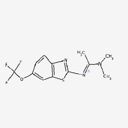 C/C(=N\c1nc2ccc(OC(F)(F)F)cc2s1)N(C)C